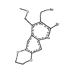 COCc1c(CBr)c(Br)nc2cc3c(cc12)OCCO3